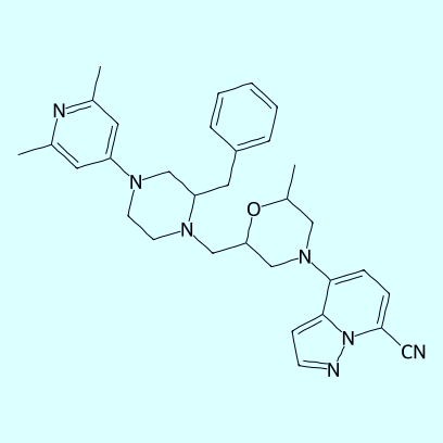 Cc1cc(N2CCN(CC3CN(c4ccc(C#N)n5nccc45)CC(C)O3)C(Cc3ccccc3)C2)cc(C)n1